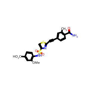 COc1cc(C(=O)O)ccc1NS(=O)(=O)c1csc(C#Cc2ccc(C(N)=O)c(C)c2)n1